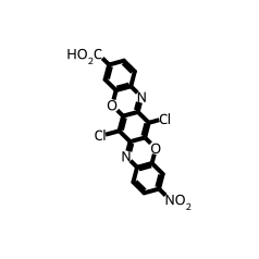 O=C(O)c1ccc2c(c1)Oc1c(Cl)c3c(c(Cl)c1=N2)Oc1cc([N+](=O)[O-])ccc1N=3